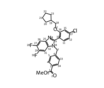 COC(=O)c1ccc(Cn2c(-c3ccc(Cl)cc3OCC3CCCC3)nc3cc(F)c(F)cc32)cc1